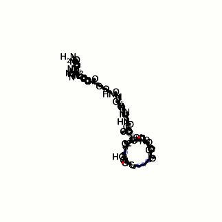 CO[C@H]1CC2CCCC(O2)C(=O)C(=O)N2CCCC[C@H]2C(=O)O[C@H](CC[C@@H]2CC[C@@H](OC(=O)NCc3cnc(N4CCN(C(=O)CN(C)CC(=O)NCCOCCOCCC(=O)N5CCc6cc(Cn7nc(-c8ccc9oc(N)nc9c8)c8c(N)ncnc87)ccc6C5)CC4)nc3)[C@H](OC)C2)C[C@@H](OC)[C@H](C)/C=C(\C)[C@@H](O)[C@@H](OC)C(=O)[C@H](C)C[C@H](C)/C=C/C=C/C=C/1C